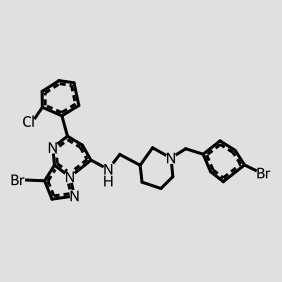 Clc1ccccc1-c1cc(NCC2CCCN(Cc3ccc(Br)cc3)C2)n2ncc(Br)c2n1